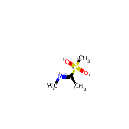 C/N=C(\C)S(C)(=O)=O